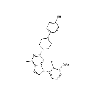 COc1cccc(-n2cnc3c(C)nc(N4CCN(c5ccc(O)cc5)CC4)nc32)c1Cl